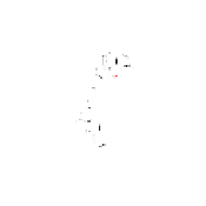 CC(OC(=O)CCC(=O)OC1=CC[C@@]2(O)[C@H]3Cc4ccc(O)c5c4[C@@]2(CCN3C)[C@H]1O5)C(=O)NC(CC(=O)O)C(=O)O